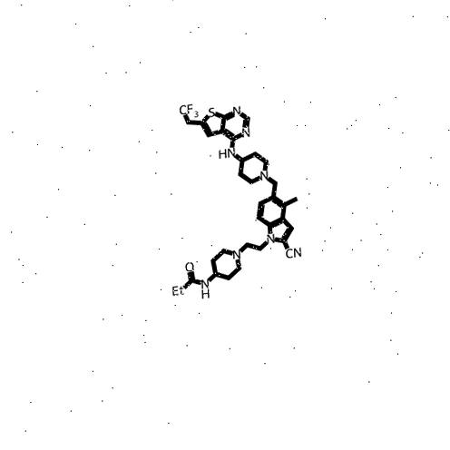 CCC(=O)NC1CCN(CCn2c(C#N)cc3c(C)c(CN4CCC(Nc5ncnc6sc(CC(F)(F)F)cc56)CC4)ccc32)CC1